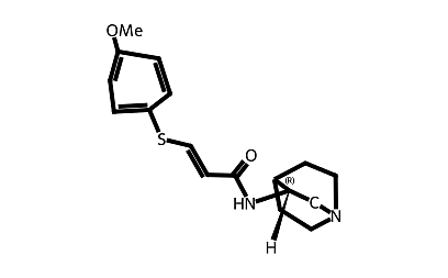 COc1ccc(SC=CC(=O)N[C@H]2CN3CCC2CC3)cc1